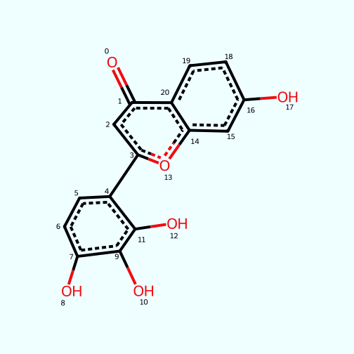 O=c1cc(-c2ccc(O)c(O)c2O)oc2cc(O)ccc12